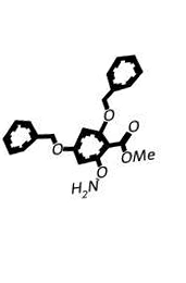 COC(=O)c1c(ON)cc(OCc2ccccc2)cc1OCc1ccccc1